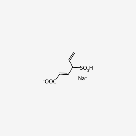 C=CC(C=CC(=O)[O-])S(=O)(=O)O.[Na+]